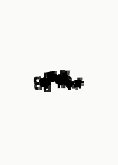 C[C@H](CSCC(F)(F)F)NC(=O)c1ccc(/C(F)=C/C(c2cc(Cl)c(Cl)c(Cl)c2)C(C)(F)F)cc1C(F)(F)F